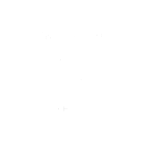 CCCC1(C=O)COC1